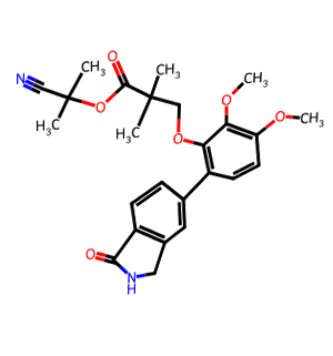 COc1ccc(-c2ccc3c(c2)CNC3=O)c(OCC(C)(C)C(=O)OC(C)(C)C#N)c1OC